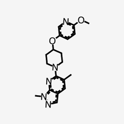 COc1ccc(OC2CCN(c3nc4c(cnn4C)cc3C)CC2)cn1